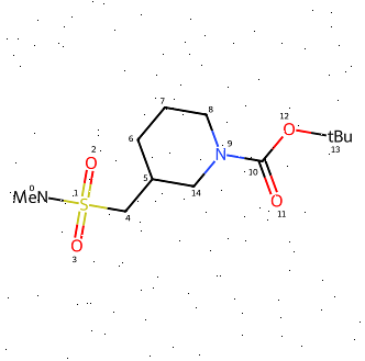 CNS(=O)(=O)CC1CCCN(C(=O)OC(C)(C)C)C1